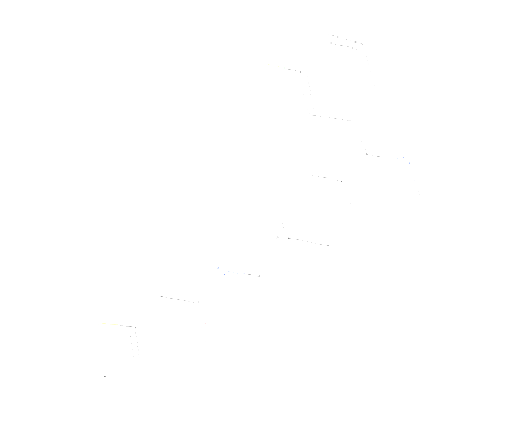 CN(C)C(c1cccc(F)c1)C1CCC(CNC(=O)Cc2cccs2)CC1